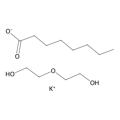 CCCCCCCC(=O)[O-].OCCOCCO.[K+]